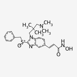 CN(C)CC(C)(C)Cn1c([S+]([O-])Cc2ccccc2)nc2cc(/C=C/C(=O)NO)ccc21